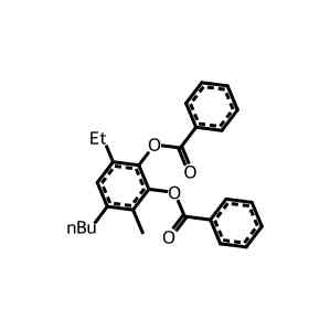 CCCCc1cc(CC)c(OC(=O)c2ccccc2)c(OC(=O)c2ccccc2)c1C